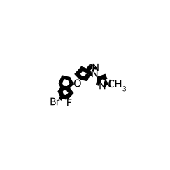 Cn1cc(-n2ncc3ccc(OC4CCCc5cc(Br)c(F)cc54)cc32)cn1